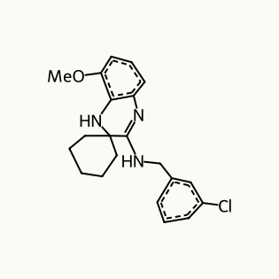 COc1cccc2c1NC1(CCCCC1)C(NCc1cccc(Cl)c1)=N2